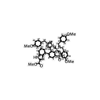 COC(=O)c1nc2c(-c3ccc(S(=O)O)c(S(=O)(=O)N(Cc4ccc(OC)cc4)Cc4ccc(OC)cc4)c3-c3nnn(Cc4ccc(OC)cc4)n3)cccc2[nH]1